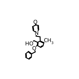 Cc1ccc(OCc2ccccc2)c(CO)c1CCn1ccc(=O)cc1